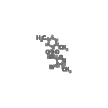 Cc1ccc(C)c(S(=O)(=O)Nc2onc(C)c2Br)c1